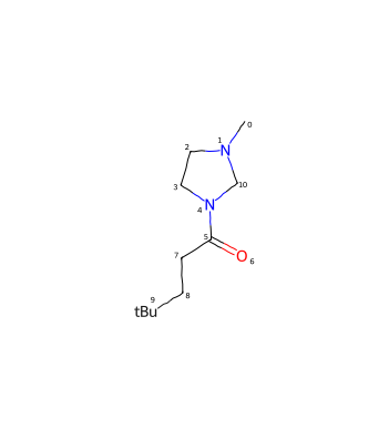 CN1CCN(C(=O)CCC(C)(C)C)C1